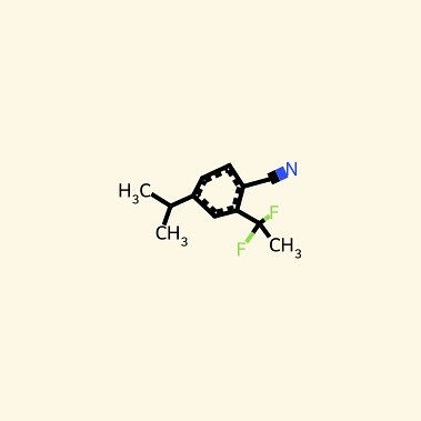 CC(C)c1ccc(C#N)c(C(C)(F)F)c1